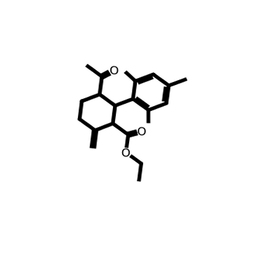 C=C1CCC(C(C)=O)C(c2c(C)cc(C)cc2C)C1C(=O)OCC